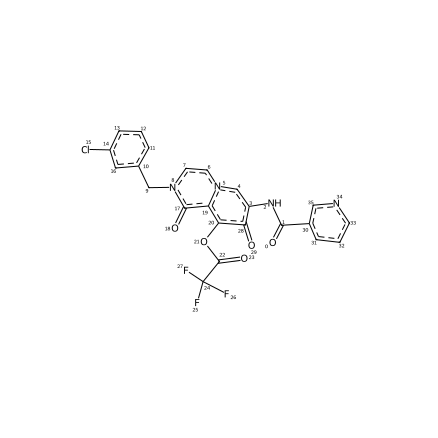 O=C(Nc1cn2ccn(Cc3cccc(Cl)c3)c(=O)c2c(OC(=O)C(F)(F)F)c1=O)c1cccnc1